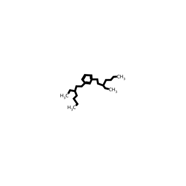 CCCCC(CC)CCc1cccc(CCC(CC)CCCC)c1